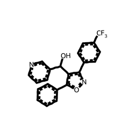 OC(c1cccnc1)c1c(-c2ccc(C(F)(F)F)cc2)noc1-c1ccccc1